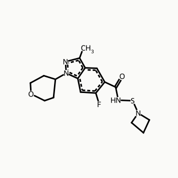 Cc1nn(C2CCOCC2)c2cc(F)c(C(=O)NSN3CCC3)cc12